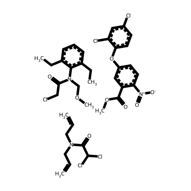 C=CCN(CC=C)C(=O)C(Cl)Cl.CCc1cccc(CC)c1N(COC)C(=O)CCl.COC(=O)c1cc(Oc2ccc(Cl)cc2Cl)ccc1[N+](=O)[O-]